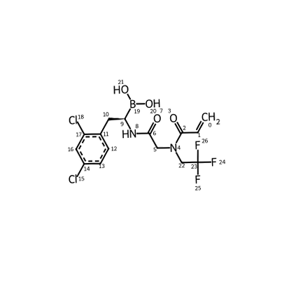 C=CC(=O)N(CC(=O)N[C@@H](Cc1ccc(Cl)cc1Cl)B(O)O)CC(F)(F)F